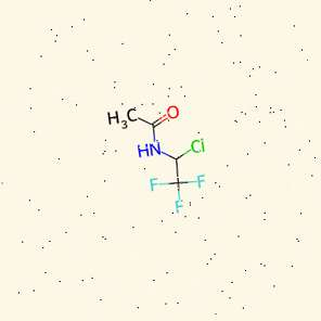 CC(=O)NC(Cl)C(F)(F)F